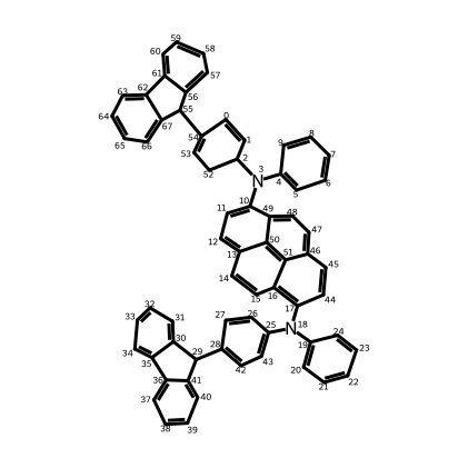 C1=CC(N(c2ccccc2)c2ccc3ccc4c(N(c5ccccc5)c5ccc(C6c7ccccc7-c7ccccc76)cc5)ccc5ccc2c3c54)CC=C1C1c2ccccc2-c2ccccc21